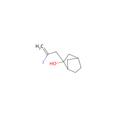 C=C(I)CC1(O)CC2CCC1C2